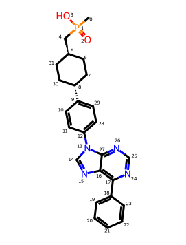 CP(=O)(O)C[C@H]1CC[C@H](c2ccc(-n3cnc4c(-c5ccccc5)ncnc43)cc2)CC1